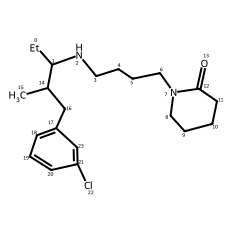 CCC(NCCCCN1CCCCC1=O)C(C)Cc1cccc(Cl)c1